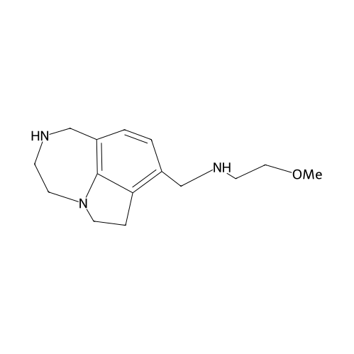 COCCNCc1ccc2c3c1CCN3CCNC2